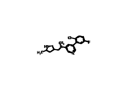 CC1CC(CN(C)c2cncc(-c3cc(F)ccc3Cl)c2)CN1